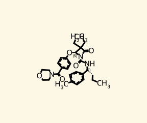 CCC[C@@H](NC(=O)N1C(=O)C(CC)(CC)[C@@H]1Oc1ccc(C(=O)N2CCOCC2)cc1)c1ccc(C)cc1